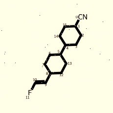 N#CC1CCC(C2CCC(C=CF)CC2)CC1